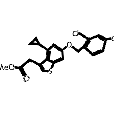 COC(=O)Cc1csc2cc(OCc3ccc(Cl)cc3Cl)cc(C3CC3)c12